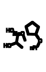 CC(O)CO.CCCOC1CCCC1.COC